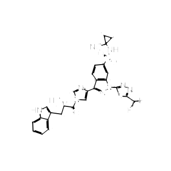 N#CC1(NS(=O)(=O)c2ccc3c(-c4cn(C(=O)[C@@H](N)Cc5c[nH]c6ccccc56)cn4)nn(-c4nnc(C(F)F)s4)c3c2)CC1